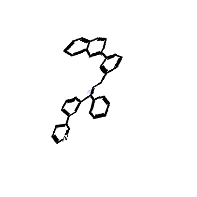 C(/Cc1cccc(-c2ccc3ccccc3c2)c1)=C(/c1ccccc1)c1cccc(-c2cccnc2)c1